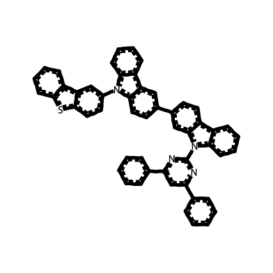 c1ccc(-c2cc(-c3ccccc3)nc(-n3c4ccccc4c4ccc(-c5ccc6c(c5)c5ccccc5n6-c5ccc6sc7ccccc7c6c5)cc43)n2)cc1